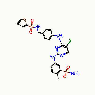 Cc1ccc(Nc2ncc(F)c(Nc3ccc(CNS(=O)(=O)c4cccs4)cc3)n2)cc1S(N)(=O)=O